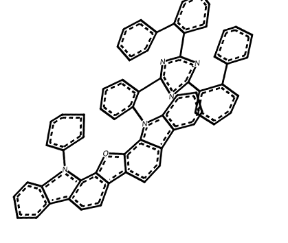 c1ccc(-c2ccccc2-c2nc(-c3ccccc3-c3ccccc3)nc(-c3ccccc3-n3c4ccccc4c4ccc5c6ccc7c8ccccc8n(-c8ccccc8)c7c6oc5c43)n2)cc1